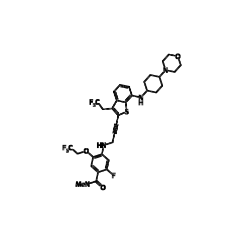 CNC(=O)c1cc(OCC(F)(F)F)c(NCC#Cc2sc3c(NC4CCC(N5CCOCC5)CC4)cccc3c2CC(F)(F)F)cc1F